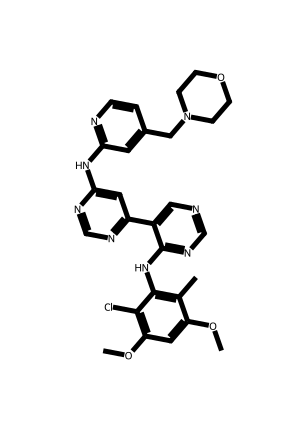 COc1cc(OC)c(Cl)c(Nc2ncncc2-c2cc(Nc3cc(CN4CCOCC4)ccn3)ncn2)c1C